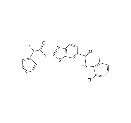 Cc1cccc(Cl)c1NC(=O)c1ccc2nc(NC(=O)C(C)c3ccccc3)sc2c1